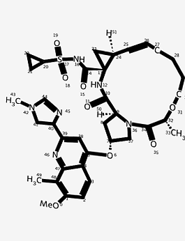 COc1ccc2c(O[C@@H]3C[C@H]4C(=O)N[C@]5(C(=O)NS(=O)(=O)C6CC6)C[C@H]5/C=C\CCCCO[C@H](C)C(=O)N4C3)cc(C3CN(C)C=N3)nc2c1C